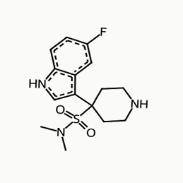 CN(C)S(=O)(=O)C1(c2c[nH]c3ccc(F)cc23)CCNCC1